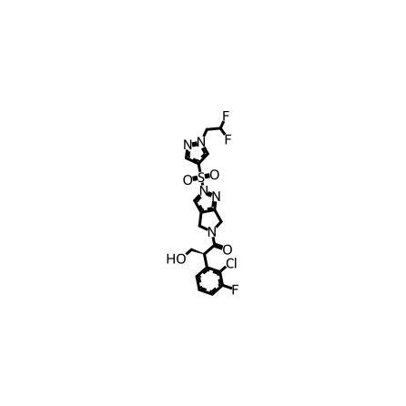 O=C([C@H](CO)c1cccc(F)c1Cl)N1Cc2cn(S(=O)(=O)c3cnn(CC(F)F)c3)nc2C1